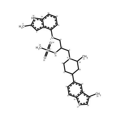 Cc1cc2c(OCC(CN3CCC(c4ccc5scc(C)c5c4)CC3C)OS(C)(=O)=O)cccc2[nH]1